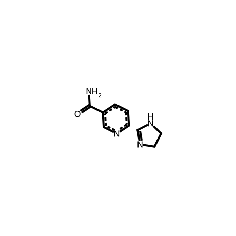 C1=NCCN1.NC(=O)c1cccnc1